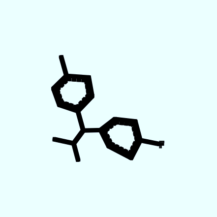 Cc1ccc(C(c2ccc(F)cc2)C(C)C)cc1